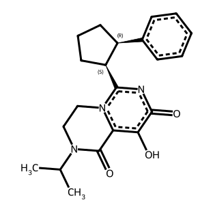 CC(C)N1CCn2c([C@H]3CCC[C@H]3c3ccccc3)nc(=O)c(O)c2C1=O